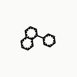 [c]1cccc(-c2cccc3ccccc23)c1